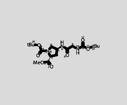 COC(=O)[C@H]1C[C@H](NC(=O)CNC(=O)OC(C)(C)C)CN1C(=O)OC(C)(C)C